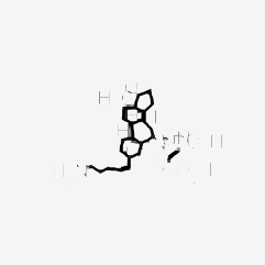 C[C@]12CCC(/C=C\CCCN)CC1/C(=N/O)C[C@@H]1[C@@H]2CC[C@]2(C)C(=O)CC[C@@H]12.O=C(O)/C=C/C(=O)O